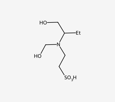 CCC(CO)N(CO)CCS(=O)(=O)O